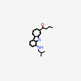 CCCC(=O)c1cccc2c3cccc(NCC(C)C)c3nc-2c1